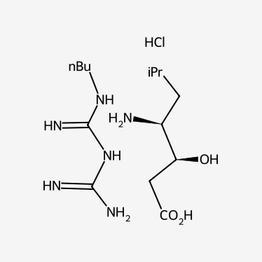 CC(C)C[C@H](N)[C@@H](O)CC(=O)O.CCCCNC(=N)NC(=N)N.Cl